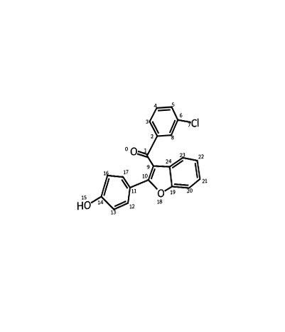 O=C(c1cccc(Cl)c1)c1c(-c2ccc(O)cc2)oc2ccccc12